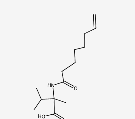 C=CCCCCCC(=O)NC(C)(C(=O)O)C(C)C